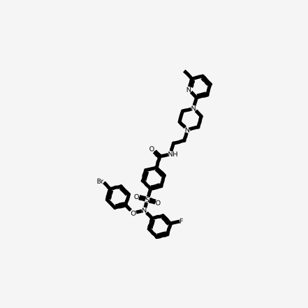 Cc1cccc(N2CCN(CCNC(=O)c3ccc(S(=O)(=O)N(Oc4ccc(Br)cc4)c4cccc(F)c4)cc3)CC2)n1